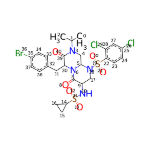 CC(C)N1CC2N(C(=O)C(NS(=O)(=O)C3CC3)CN2S(=O)(=O)c2ccc(Cl)cc2Cl)C(Cc2ccc(Br)cc2)C1=O